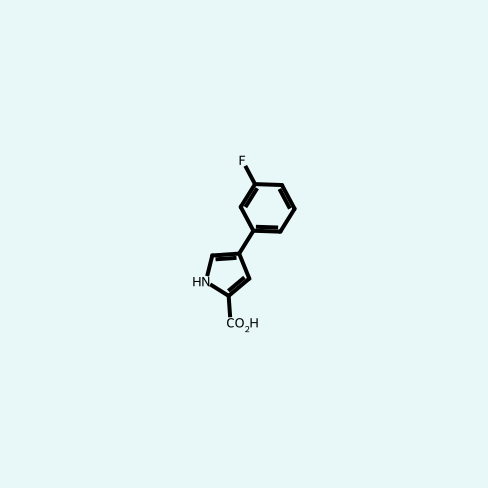 O=C(O)c1cc(-c2cccc(F)c2)c[nH]1